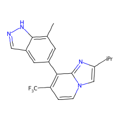 Cc1cc(-c2c(C(F)(F)F)ccn3cc(C(C)C)nc23)cc2cn[nH]c12